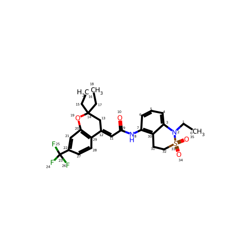 CCN1c2cccc(NC(=O)C=C3CC(CC)(CC)Oc4cc(C(F)(F)F)ccc43)c2CCS1(=O)=O